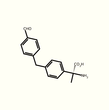 C[C@@](N)(C(=O)O)c1ccc(Cc2ccc(C=O)cc2)cc1